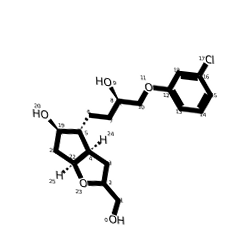 OCC1C[C@@H]2[C@@H](CC[C@@H](O)COc3cccc(Cl)c3)[C@H](O)C[C@@H]2O1